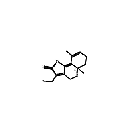 CC1=CCC[C@]2(C)CCC3=C(CBr)C(=O)OC3=C12